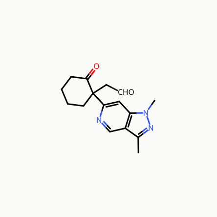 Cc1nn(C)c2cc(C3(CC=O)CCCCC3=O)ncc12